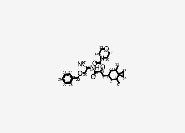 CC1CC(CC(OC(=O)N2CCOCC2)C(=O)NC(C#N)COCc2ccccc2)CC(C)C12CC2